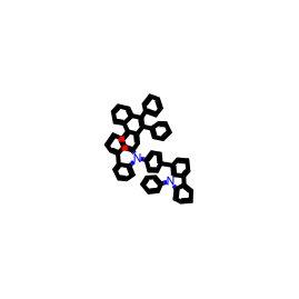 c1ccc(-c2ccccc2N(c2ccc(-c3cccc4c5ccccc5n(-c5ccccc5)c34)cc2)c2ccc3c(c2)c(-c2ccccc2)c(-c2ccccc2)c2ccccc23)cc1